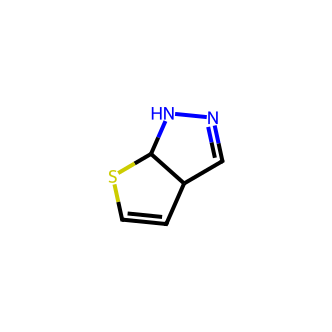 C1=CC2C=NNC2S1